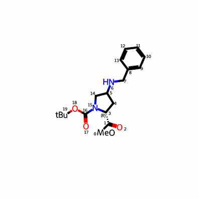 COC(=O)[C@H]1CC(NCc2ccccc2)CN1C(=O)OC(C)(C)C